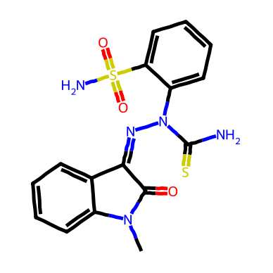 CN1C(=O)/C(=N\N(C(N)=S)c2ccccc2S(N)(=O)=O)c2ccccc21